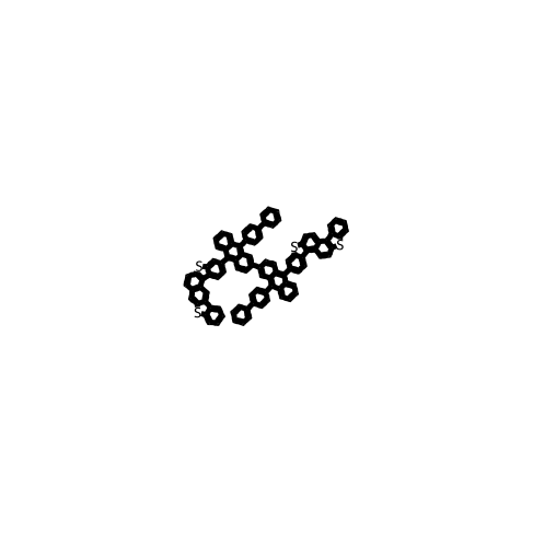 c1ccc(-c2ccc(-c3c4ccccc4c(-c4ccc5c(c4)sc4ccc6cc7sc8ccccc8c7cc6c45)c4ccc(-c5ccc6c(-c7ccc8c(c7)sc7ccc9c(ccc%10sc%11ccccc%11c%109)c78)c7ccccc7c(-c7ccc(-c8ccccc8)cc7)c6c5)cc34)cc2)cc1